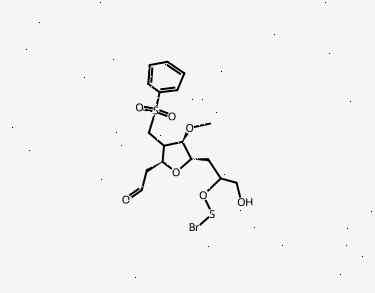 CO[C@@H]1C(CS(=O)(=O)c2ccccc2)[C@H](CC=O)O[C@@H]1CC(CO)OSBr